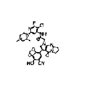 C[C@H]1CN(C)CCN1c1cc(NC(=O)Cn2cc(-c3cc(C#N)c(O)c4c3OCO4)c3c(=O)n4c(nc32)CCC4)c(Cl)c(F)n1